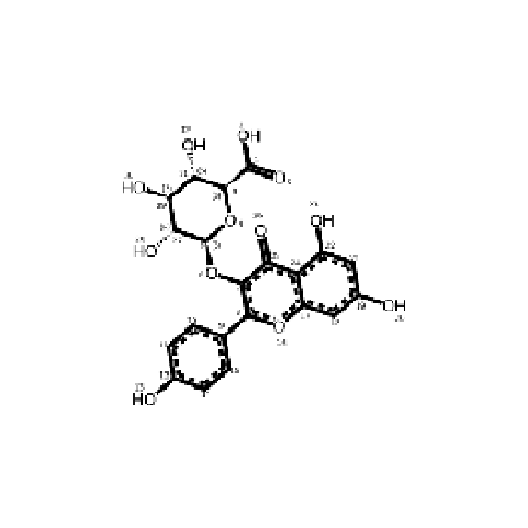 O=C(O)[C@H]1O[C@@H](Oc2c(-c3ccc(O)cc3)oc3cc(O)cc(O)c3c2=O)[C@H](O)[C@@H](O)[C@@H]1O